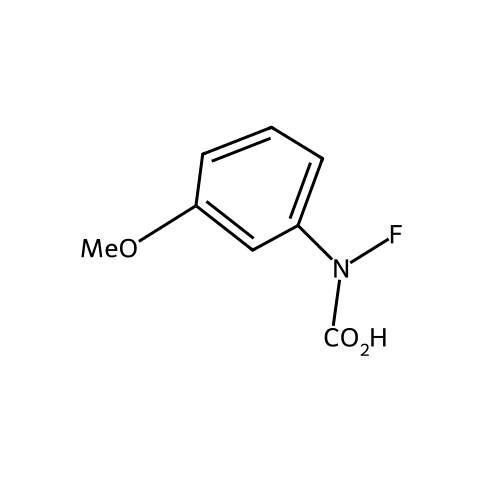 COc1cccc(N(F)C(=O)O)c1